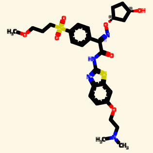 COCCCS(=O)(=O)c1ccc(/C(=N\O[C@@H]2CC[C@@H](O)C2)C(=O)Nc2nc3ccc(OCCN(C)C)cc3s2)cc1